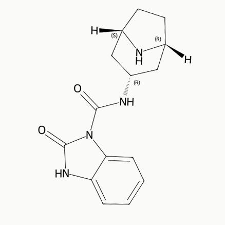 O=C(N[C@H]1C[C@H]2CC[C@@H](C1)N2)n1c(=O)[nH]c2ccccc21